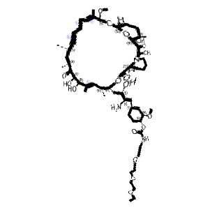 CCOCCOCCOCCNC(=O)O[C@@H]1CC[C@@H](C[C@@H](N)[C@@H](O)C[C@H]2OC(=O)[C@@H]3CCCCN3C(O)C(=O)[C@]3(O)O[C@@H](CC[C@H]3C)C[C@H](OC)/C(C)=C/C=C/C=C/[C@@H](C)C[C@@H](C)C(=O)[C@H](O)[C@H](O)/C(C)=C/[C@H]2C)C[C@H]1OC